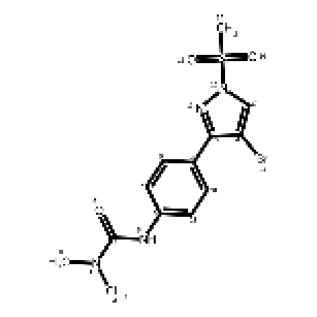 CN(C)C(=O)Nc1ccc(-c2nn(S(C)(=O)=O)cc2Br)cc1